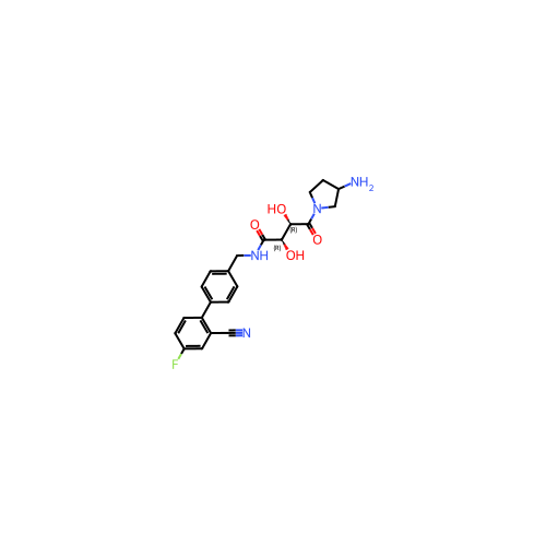 N#Cc1cc(F)ccc1-c1ccc(CNC(=O)[C@H](O)[C@@H](O)C(=O)N2CCC(N)C2)cc1